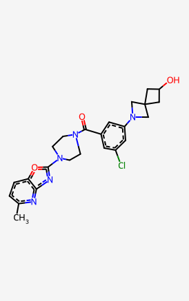 Cc1ccc2oc(N3CCN(C(=O)c4cc(Cl)cc(N5CC6(CC(O)C6)C5)c4)CC3)nc2n1